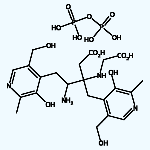 Cc1ncc(CO)c(CC(N)C(CC(=O)O)(Cc2c(CO)cnc(C)c2O)NCC(=O)O)c1O.O=P(O)(O)OP(=O)(O)O